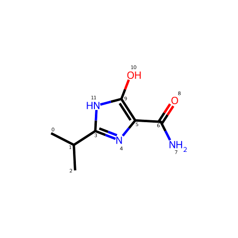 CC(C)c1nc(C(N)=O)c(O)[nH]1